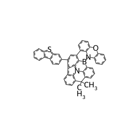 CC1(C)c2cccc3c2-n2c4c1cccc4c1c(-c4ccc5c(c4)sc4ccccc45)cc4c(c12)B3N1c2ccccc2Oc2cccc-4c21